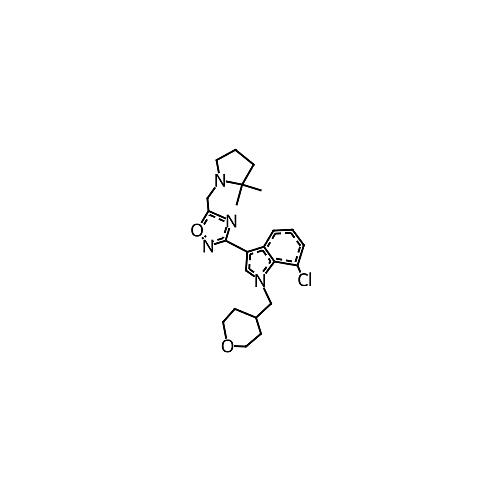 CC1(C)CCCN1Cc1nc(-c2cn(CC3CCOCC3)c3c(Cl)cccc23)no1